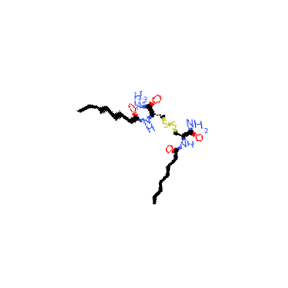 CCCCCCCC(=O)N[C@@H](CSSC[C@H](NC(=O)CCCCCCC)C(N)=O)C(N)=O